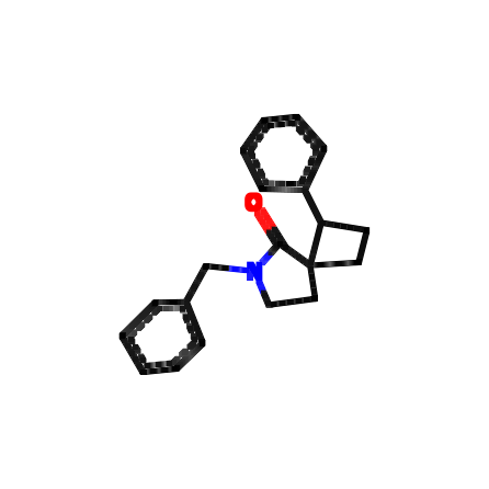 O=C1N(Cc2ccccc2)CCC12CCC2c1ccccc1